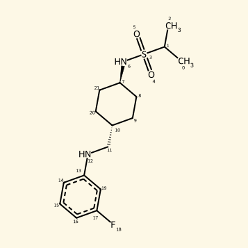 CC(C)S(=O)(=O)N[C@H]1CC[C@H](CNc2cccc(F)c2)CC1